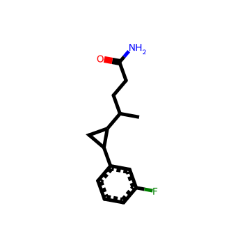 CC(CCC(N)=O)C1CC1c1cccc(F)c1